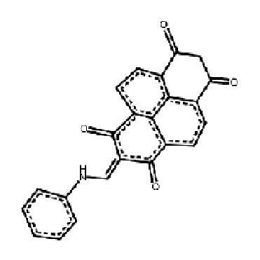 O=C1CC(=O)c2ccc3c(=O)c(=CNc4ccccc4)c(=O)c4ccc1c2c43